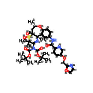 C[C@H]1C[C@@H]2[C@](C)(N=C(N(C(=O)OC(C)(C)C)C(=O)OC(C)(C)C)C(C)(C)S2(=O)=O)c2cc(NC(=O)c3ccc(OCc4ncco4)cn3)ccc2O1